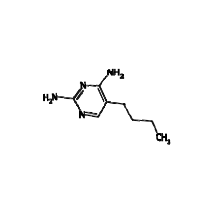 CCCCc1cnc(N)nc1N